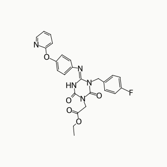 CCOC(=O)Cn1c(=O)[nH]/c(=N\c2ccc(Oc3ccccn3)cc2)n(Cc2ccc(F)cc2)c1=O